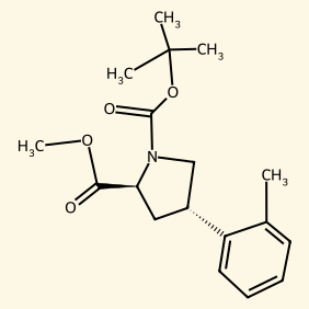 COC(=O)[C@@H]1C[C@@H](c2ccccc2C)CN1C(=O)OC(C)(C)C